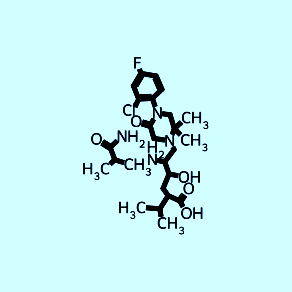 CC(C)C(CC(O)C(N)CN1CC(=O)N(c2ccc(F)cc2Cl)CC1(C)C)C(=O)O.CC(C)C(N)=O